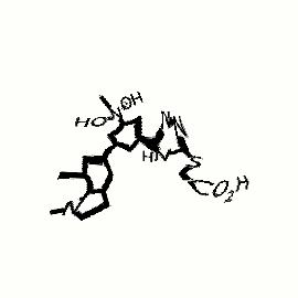 Cc1cc(-c2cc(-c3nnc(SCC(=O)O)[nH]3)cc([N+](C)(O)O)c2)cc2ccn(C)c12